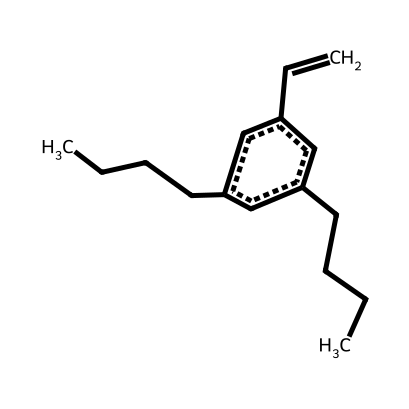 C=Cc1cc(CCCC)cc(CCCC)c1